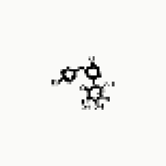 CCc1ccc(Cc2cc([C@@H]3C(=O)[C@H](CO)[C@@H](O)[C@H](O)[C@H]3O)ccc2Cl)cc1